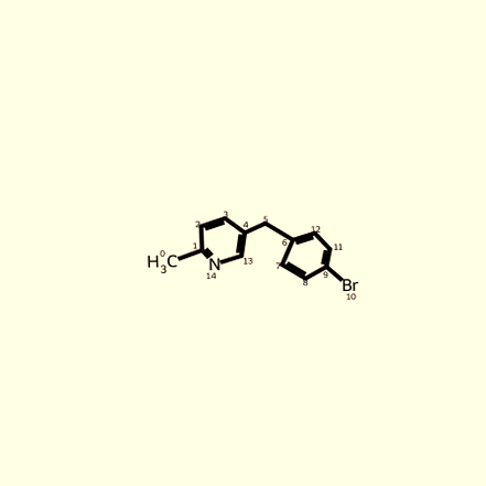 Cc1ccc(Cc2ccc(Br)cc2)cn1